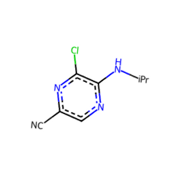 CC(C)Nc1ncc(C#N)nc1Cl